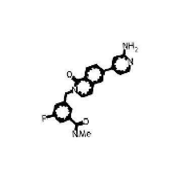 CNC(=O)c1cc(F)cc(Cn2ccc3cc(-c4ccnc(N)c4)ccc3c2=O)c1